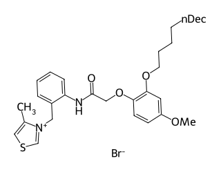 CCCCCCCCCCCCCCOc1cc(OC)ccc1OCC(=O)Nc1ccccc1C[n+]1cscc1C.[Br-]